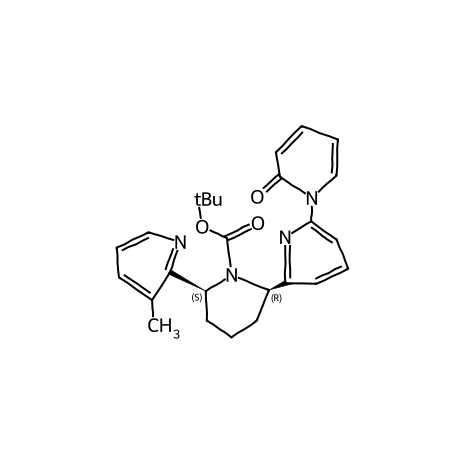 Cc1cccnc1[C@@H]1CCC[C@H](c2cccc(-n3ccccc3=O)n2)N1C(=O)OC(C)(C)C